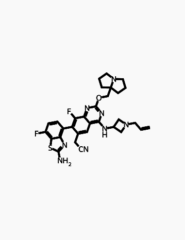 C=CCN1CC(Nc2nc(OCC34CCCN3CCC4)nc3c(F)c(-c4ccc(F)c5sc(N)nc45)c(CC#N)cc23)C1